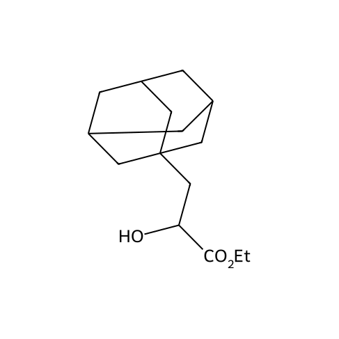 CCOC(=O)C(O)CC12CC3CC(CC(C3)C1)C2